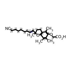 Cc1c(C)c2c(c(C)c1OCC(=O)O)CCC(C)(/C=C/CCCCCCC#N)O2